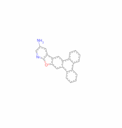 Nc1cnc2oc3cc4c5ccccc5c5ccccc5c4cc3c2c1